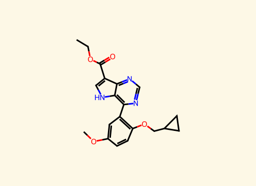 CCOC(=O)c1c[nH]c2c(-c3cc(OC)ccc3OCC3CC3)ncnc12